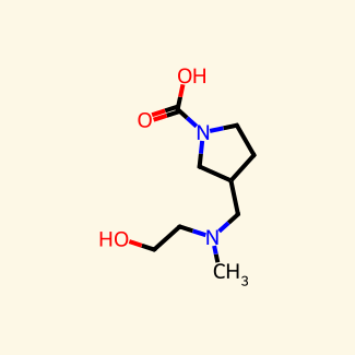 CN(CCO)CC1CCN(C(=O)O)C1